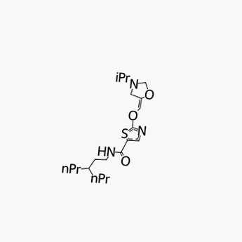 CCCC(CCC)CCNC(=O)c1cnc(OC=C2CN(C(C)C)CO2)s1